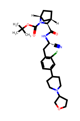 CC(C)(C)OC(=O)N1[C@@H]2CC[C@@H](C2)[C@H]1C(=O)N[C@H](C#N)Cc1ccc(C2CCN(C3CCOC3)CC2)cc1F